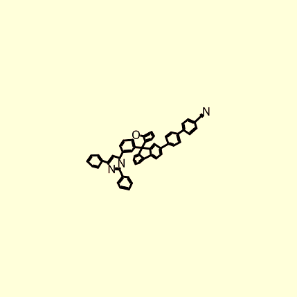 N#Cc1ccc(-c2ccc(-c3ccc4c(c3)C3(c5ccccc5Oc5ccc(-c6cc(-c7ccccc7)nc(-c7ccccc7)n6)cc53)c3ccccc3-4)cc2)cc1